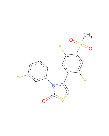 CS(=O)(=O)c1cc(F)c(-c2csc(=O)n2-c2cccc(F)c2)cc1F